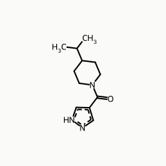 CC(C)C1CCN(C(=O)c2cn[nH]c2)CC1